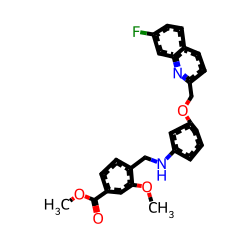 COC(=O)c1ccc(CNc2cccc(OCc3ccc4ccc(F)cc4n3)c2)c(OC)c1